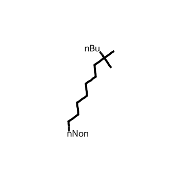 [CH2]CCCCCCCCCCCCCCCC(C)(C)CCCC